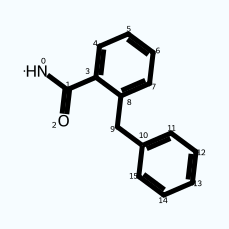 [NH]C(=O)c1ccccc1Cc1ccccc1